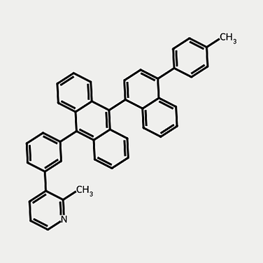 Cc1ccc(-c2ccc(-c3c4ccccc4c(-c4cccc(-c5cccnc5C)c4)c4ccccc34)c3ccccc23)cc1